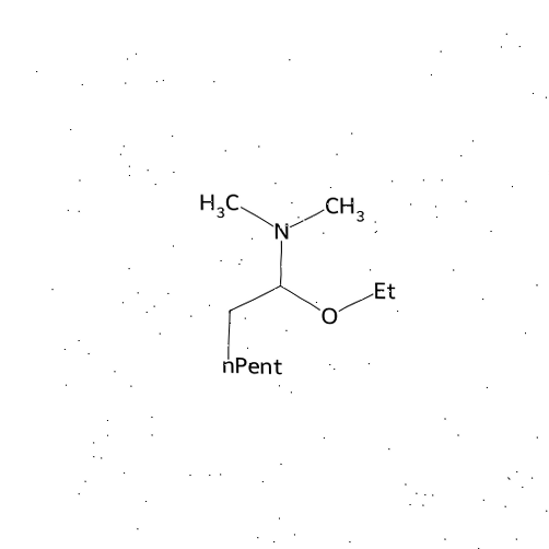 CCCCCCC(OCC)N(C)C